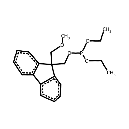 CCOP(OCC)OCC1(COC)c2ccccc2-c2ccccc21